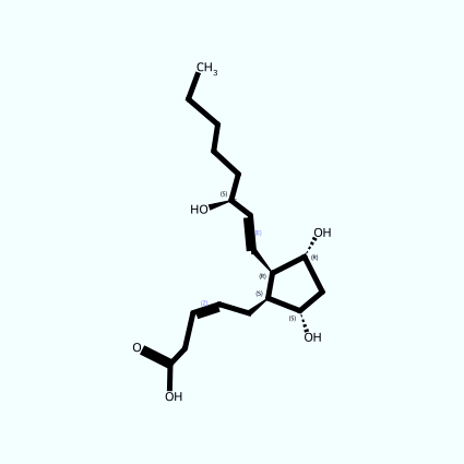 CCCCC[C@H](O)/C=C/[C@@H]1[C@H](C/C=C\CC(=O)O)[C@@H](O)C[C@H]1O